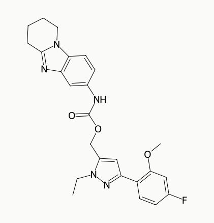 CCn1nc(-c2ccc(F)cc2OC)cc1COC(=O)Nc1ccc2c(c1)nc1n2CCCC1